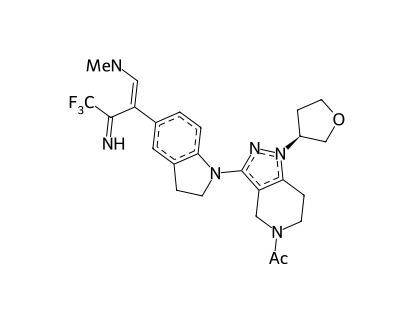 CN/C=C(\C(=N)C(F)(F)F)c1ccc2c(c1)CCN2c1nn([C@H]2CCOC2)c2c1CN(C(C)=O)CC2